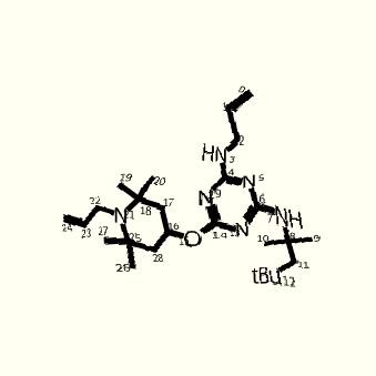 C=CCNc1nc(NC(C)(C)CC(C)(C)C)nc(OC2CC(C)(C)N(CC=C)C(C)(C)C2)n1